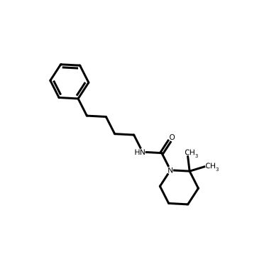 CC1(C)CCCCN1C(=O)NCCCCc1ccccc1